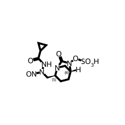 O=NN(C[C@@H]1CC[C@@H]2CN1C(=O)N2OS(=O)(=O)O)NC(=O)C1CC1